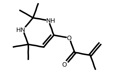 C=C(C)C(=O)OC1=CC(C)(C)NC(C)(C)N1